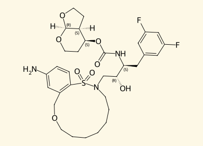 Nc1ccc2c(c1)COCCCCCCCN(C[C@@H](O)[C@H](Cc1cc(F)cc(F)c1)NC(=O)O[C@H]1CCO[C@H]3OCC[C@H]31)S2(=O)=O